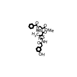 COC(=O)C(CNC(=O)c1ccccc1)NC(=O)c1sc(NC(=O)Cc2cccc(O)c2)nc1C